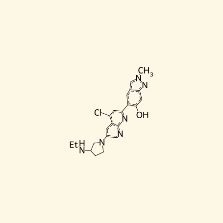 CCNC1CCN(c2cnc3nc(-c4cc5cn(C)nc5cc4O)cc(Cl)c3c2)C1